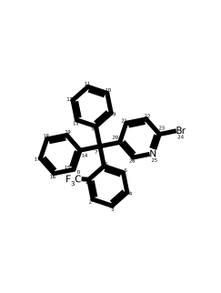 FC(F)(F)c1ccccc1C(c1ccccc1)(c1ccccc1)c1ccc(Br)nc1